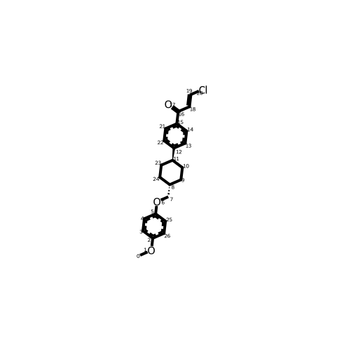 COc1ccc(OC[C@H]2CC[C@H](c3ccc(C(=O)C=CCl)cc3)CC2)cc1